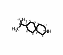 CC(C)C1CCC2(CCNCC2)CC1